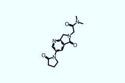 CN(C)C(=O)CN1Cc2ncc(N3CCCC3=O)cc2C1=O